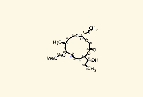 C=CC[C@H]1CCCC(=C)CC(OCOC)/C=C/CC(C(O)C=C)OC(=O)CO1